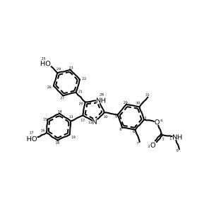 CNC(=O)Oc1c(C)cc(-c2nc(-c3ccc(O)cc3)c(-c3ccc(O)cc3)[nH]2)cc1C